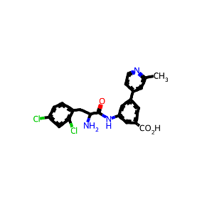 Cc1cc(-c2cc(NC(=O)C(N)Cc3ccc(Cl)cc3Cl)cc(C(=O)O)c2)ccn1